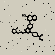 C=CC(=O)N1CCN(c2nc(OCCC3CCCN3C)nc3c2CCC(c2cc(O)cc4ccccc24)C3)CC1